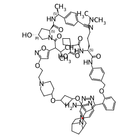 CC(C)C(C(=O)N1C[C@H](O)C[C@H]1C(=O)N[C@@H](C)c1ccc(C#N)cc1)c1cc(OCCN2CCC(OC3CC(Oc4cc(N5C6CCC5CN(c5cc(-c7ccccc7OCc7ccc(NC(=O)[C@H](CCCCN(C)C)NC(=O)C8(C(=O)O)CCC8)cc7)nnc5N)C6)ccn4)C3)CC2)no1